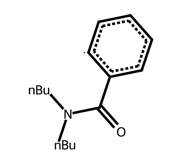 CCCCN(CCCC)C(=O)c1[c]cccc1